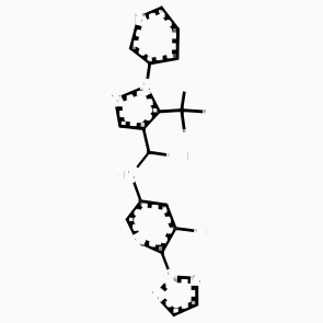 OC(Nc1cnc(-n2nccn2)c(Cl)c1)c1cnn(-c2cccnc2)c1C(F)(F)F